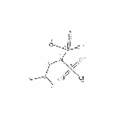 CC(C)CN(P(=O)(Cl)Cl)S(=O)(=O)O